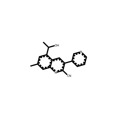 Cc1cc(C(C)O)c2cc(-c3cccnc3)c(C#N)nc2c1